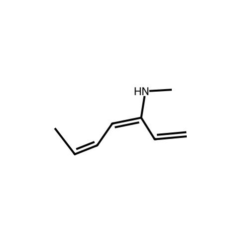 C=C/C(=C\C=C/C)NC